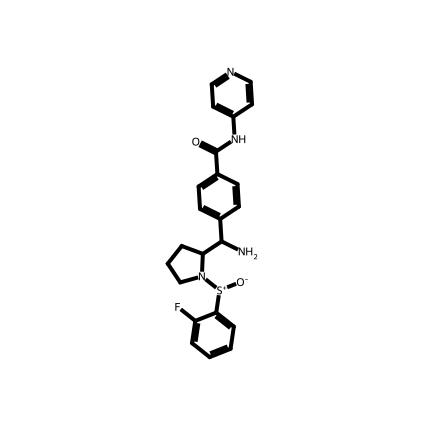 NC(c1ccc(C(=O)Nc2ccncc2)cc1)C1CCCN1[S+]([O-])c1ccccc1F